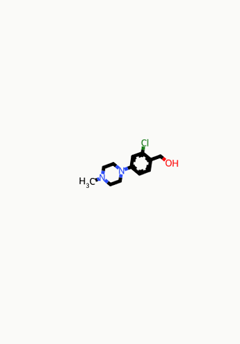 CN1CCN(c2ccc(CO)c(Cl)c2)CC1